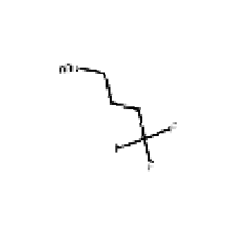 CCCCCCCC(F)(F)I